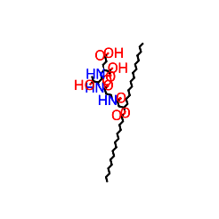 CCCCCCCCCCCCCCCC(=O)OC(CCCCCCCCCCCCCCC)CC(=O)NCCC(=O)N[C@H](C(=O)N[C@@H](CCC(=O)O)C(=O)O)C(C)O